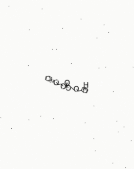 O=C(OCCOCC1C[C@H]2C=CC1C2)OCCOC[C@H]1CC2C=CC1C2